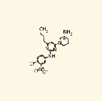 CCCCc1cc(N2CCC[C@@H](N)C2)nc(Nc2ccc(Cl)c([N+](=O)[O-])c2)n1